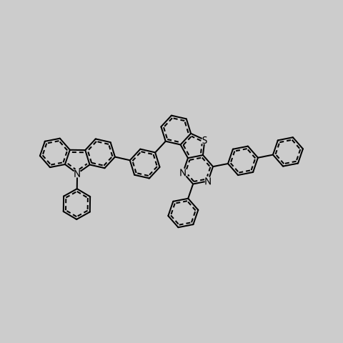 c1ccc(-c2ccc(-c3nc(-c4ccccc4)nc4c3sc3cccc(-c5cccc(-c6ccc7c8ccccc8n(-c8ccccc8)c7c6)c5)c34)cc2)cc1